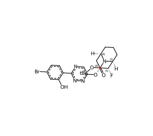 CC(C)(C)OC(=O)N1[C@@H]2CCC[C@H]1[C@H](F)[C@H](Oc1cnc(-c3ccc(Br)cc3O)nn1)C2